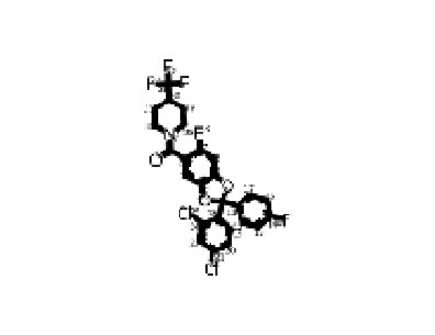 O=C(c1cc2c(cc1F)OC(c1ccc(F)cc1)(c1ccc(Cl)cc1Cl)O2)N1CCC(C(F)(F)F)CC1